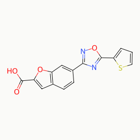 O=C(O)c1cc2ccc(-c3noc(-c4cccs4)n3)cc2o1